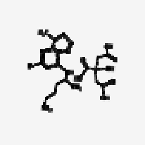 Cc1ccnc2c(NC(C)CCCN)cc(F)cc12.O=C(O)CC(O)(CC(=O)O)C(=O)O